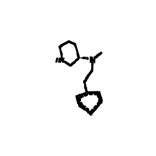 CN(CCc1ccccc1)[C@H]1CCCNC1